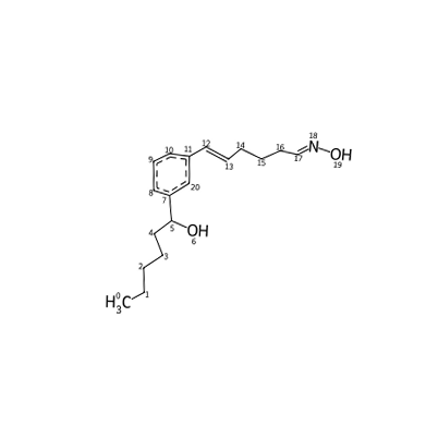 CCCCCC(O)c1cccc(C=CCCCC=NO)c1